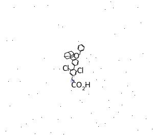 O=C(O)/C=C/c1cc(Cl)c(-c2ccc(OCc3ccccc3)c(C34CC5CC(CC(C5)C3)C4)c2)c(Cl)c1